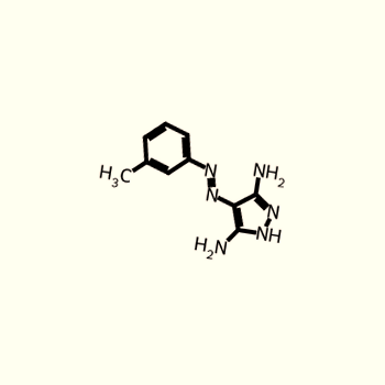 Cc1cccc(N=Nc2c(N)n[nH]c2N)c1